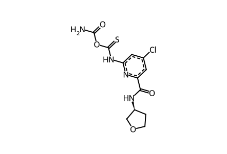 NC(=O)OC(=S)Nc1cc(Cl)cc(C(=O)N[C@H]2CCOC2)n1